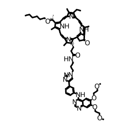 CCCCCCO[C@H](C)c1c(C)c2cc3nc(c4c5[nH]c(cc6nc(cc1[nH]2)C(C)=C6CC)c(C)c5C(=O)C4)[C@@H](CCC(=O)NCCCn1cc(-c2cccc(Nc4ncnc5cc(OCCOC)c(OCCOC)cc45)c2)nn1)C3C